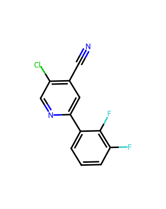 N#Cc1cc(-c2cccc(F)c2F)ncc1Cl